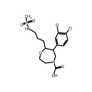 CS(=O)(=O)NCCCC1OCCN(C(=O)O)CC1c1ccc(Cl)c(Cl)c1